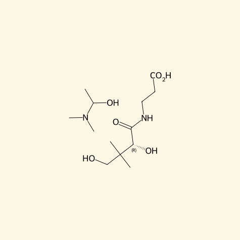 CC(C)(CO)[C@@H](O)C(=O)NCCC(=O)O.CC(O)N(C)C